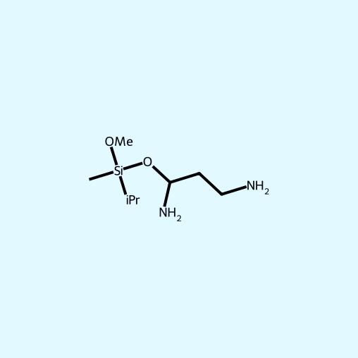 CO[Si](C)(OC(N)CCN)C(C)C